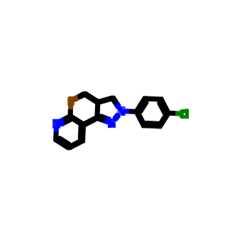 Clc1ccc(N2CC3CSc4ncccc4C3=N2)cc1